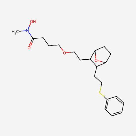 CN(O)C(=O)CCCOCCC1C2CCC(O2)C1CCSc1ccccc1